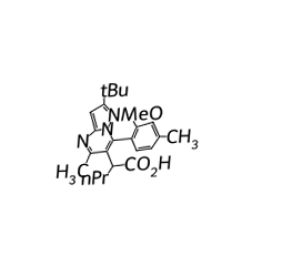 CCCC(C(=O)O)c1c(C)nc2cc(C(C)(C)C)nn2c1-c1ccc(C)cc1OC